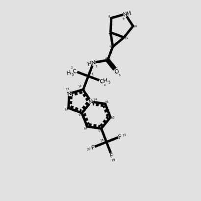 CC(C)(NC(=O)C1C2CNCC21)c1ncc2cc(C(F)(F)F)ccn12